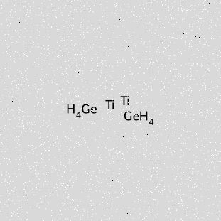 [GeH4].[GeH4].[Ti].[Ti]